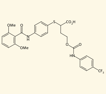 COc1cccc(OC)c1C(=O)Nc1ccc(SC(CCOC(=O)Nc2ccc(C(F)(F)F)cc2)C(=O)O)cc1